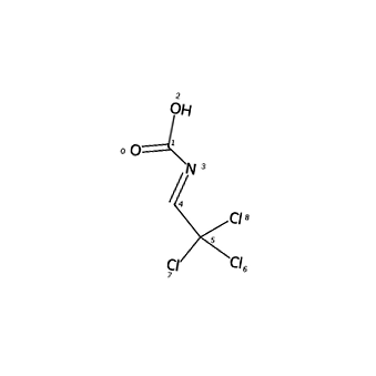 O=C(O)N=CC(Cl)(Cl)Cl